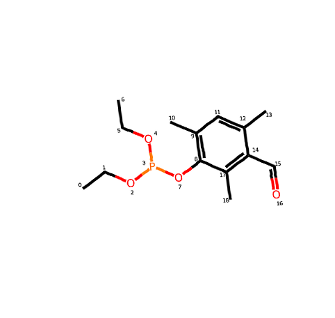 CCOP(OCC)Oc1c(C)cc(C)c(C=O)c1C